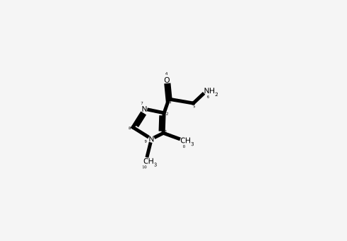 Cc1c(C(=O)CN)ncn1C